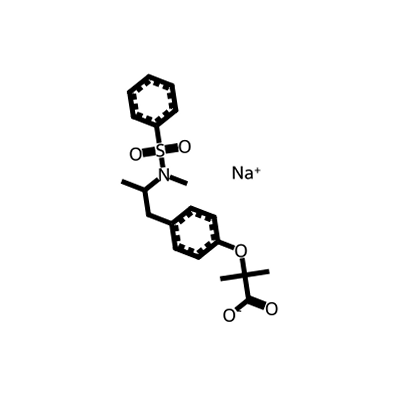 CC(Cc1ccc(OC(C)(C)C(=O)[O-])cc1)N(C)S(=O)(=O)c1ccccc1.[Na+]